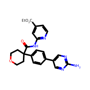 CCOC(=O)c1ccnc(NC(=O)C2(c3ccc(-c4cnc(N)nc4)cc3)CCOCC2)c1